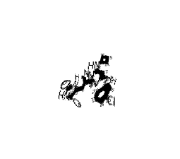 O=C1NC(=O)/C(=C/c2cnn3c(NC4CCC4)cc(Nc4cccc(Cl)c4)nc23)N1